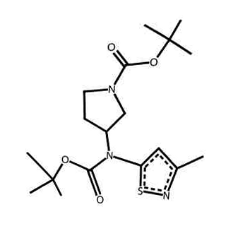 Cc1cc(N(C(=O)OC(C)(C)C)C2CCN(C(=O)OC(C)(C)C)C2)sn1